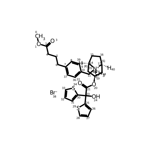 COC(=O)CCCc1ccc(C[N@+]2(C)[C@@H]3CC[C@H]2C[C@@H](OC(=O)C(O)(c2cccs2)c2cccs2)C3)cc1.[Br-]